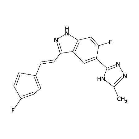 Cc1nnc(-c2cc3c(C=Cc4ccc(F)cc4)n[nH]c3cc2F)[nH]1